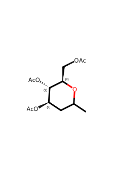 CC(=O)OC[C@H]1OC(C)C[C@@H](OC(C)=O)[C@@H]1OC(C)=O